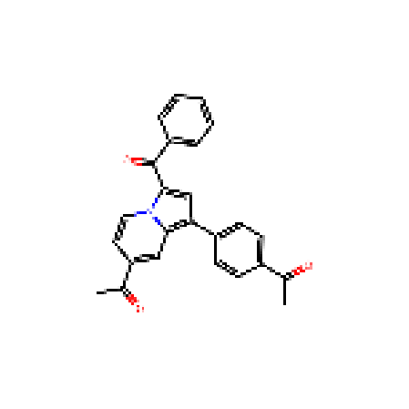 CC(=O)c1ccc(-c2cc(C(=O)c3ccccc3)n3ccc(C(C)=O)cc23)cc1